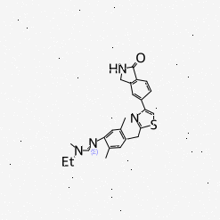 CCN(C)/C=N/c1cc(C)c(Cc2nc(-c3ccc4c(c3)CNC4=O)cs2)cc1C